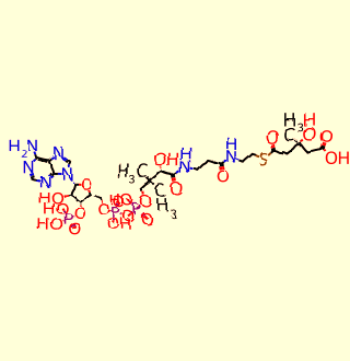 CC(C)(COP(=O)(O)OP(=O)(O)OC[C@@H]1O[C@@H](n2cnc3c(N)ncnc32)[C@H](O)[C@H]1OP(=O)(O)O)[C@H](O)C(=O)NCCC(=O)NCCSC(=O)C[C@@](C)(O)CC(=O)O